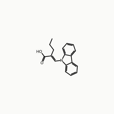 CCCC(=Cn1c2ccccc2c2ccccc21)C(=O)O